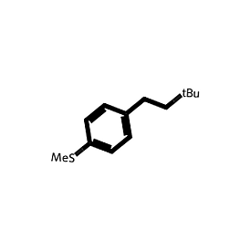 CSc1ccc(CCC(C)(C)C)cc1